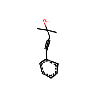 CC(C)(O)C#Cc1cc[c]cc1